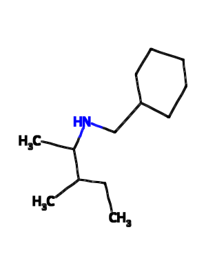 CCC(C)C(C)NCC1CCCCC1